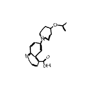 CC(C)OC1CCN(c2ccc3nccc(C(=O)O)c3c2)CC1